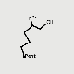 CCCCCCCCC(CO)CCC